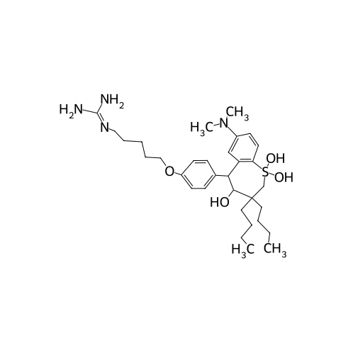 CCCCC1(CCCC)CS(O)(O)c2ccc(N(C)C)cc2C(c2ccc(OCCCCCN=C(N)N)cc2)C1O